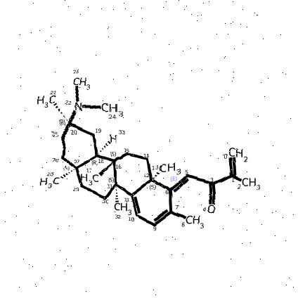 C=C(C)C(=O)/C=C1\C(C)=CC=C2[C@@]1(C)CC[C@@]1(C)[C@@H]3C[C@](C)(N(C)C)CC[C@]3(C)CC[C@]21C